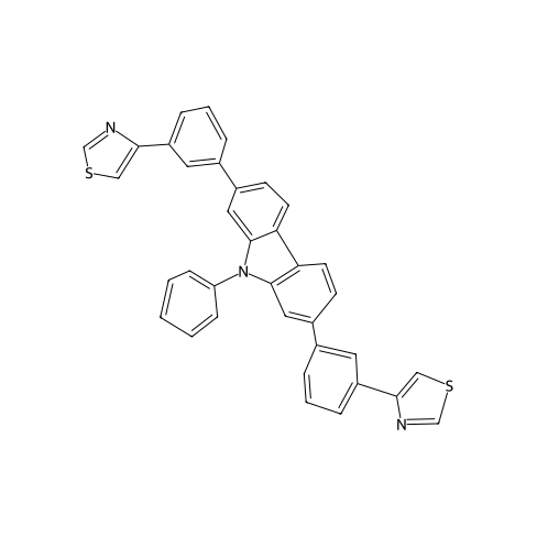 c1ccc(-n2c3cc(-c4cccc(-c5cscn5)c4)ccc3c3ccc(-c4cccc(-c5cscn5)c4)cc32)cc1